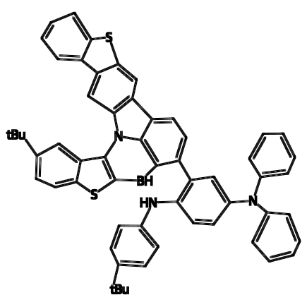 CC(C)(C)c1ccc(Nc2ccc(N(c3ccccc3)c3ccccc3)cc2-c2ccc3c4cc5sc6ccccc6c5cc4n4c3c2Bc2sc3ccc(C(C)(C)C)cc3c2-4)cc1